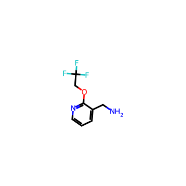 NCc1cccnc1OCC(F)(F)F